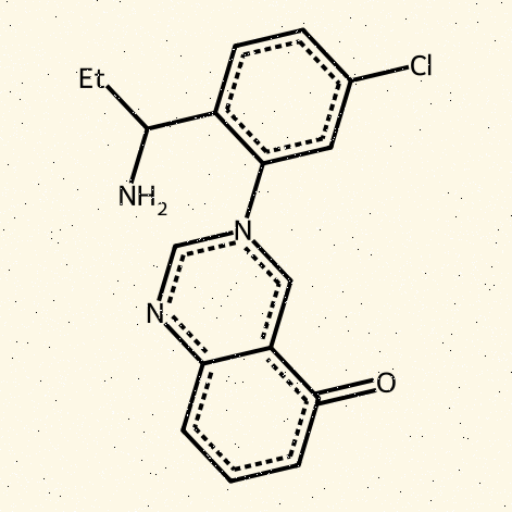 CCC(N)c1ccc(Cl)cc1-n1cnc2cccc(=O)c-2c1